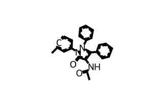 CC(=O)Nc1c(-c2ccccc2)n(-c2ccccc2)n(-c2cccc(C)c2)c1=O